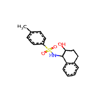 Cc1ccc(S(=O)(=O)NC2c3ccccc3CCC2O)cc1